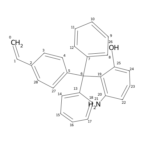 C=Cc1ccc(C(c2ccccc2)(c2ccccc2)c2c(N)cccc2O)cc1